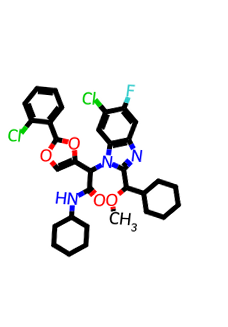 COC(c1nc2cc(F)c(Cl)cc2n1C(C(=O)NC1CCCCC1)C1=COC(c2ccccc2Cl)O1)C1CCCCC1